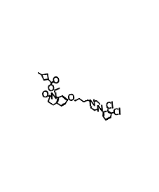 CC1CC(C(=O)OC(C)N2C(=O)CCc3ccc(OCCCCN4CCN(c5cccc(Cl)c5Cl)CC4)cc32)C1